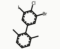 Cc1cccc(C)c1-c1cc(Br)c(Cl)c(I)c1